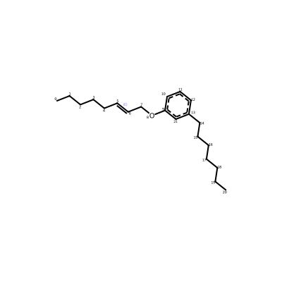 CCCCC/C=C/COc1c[c]cc(CCCCCCC)c1